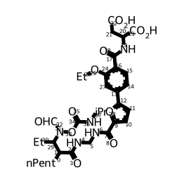 CCCCCC(C(=O)NCNC(=O)c1ccc(-c2ccc(C(=O)NC(CC(=O)O)C(=O)O)c(OCC)c2)o1)C(CC)N(C=O)OC(=O)NC(C)C